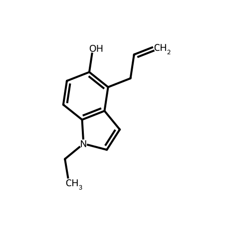 C=CCc1c(O)ccc2c1ccn2CC